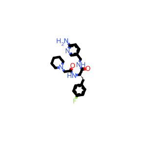 Nc1ccc(CNC(=O)[C@H](Cc2ccc(F)cc2)NC(=O)CN2CCCCC2)cn1